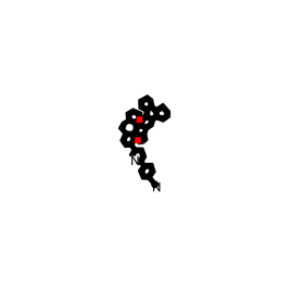 N#Cc1ccc(-c2ccc(-c3ccc4c(c3)C3(c5ccccc5C=C4)c4ccccc4-c4cc5c6ccccc6c6ccccc6c5cc43)cn2)cc1